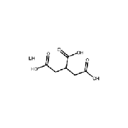 O=C(O)CC(CC(=O)O)C(=O)O.[LiH]